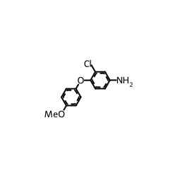 COc1ccc(Oc2ccc(N)cc2Cl)cc1